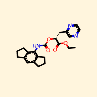 CCOC(=O)[C@@H](Cc1cnccn1)OC(=O)Nc1c2c(cc3c1CCC3)CCC2